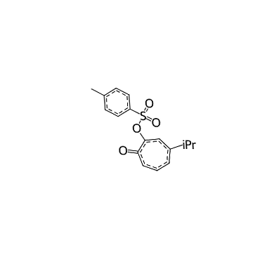 Cc1ccc(S(=O)(=O)Oc2cc(C(C)C)cccc2=O)cc1